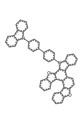 c1ccc2c(c1)oc1ccc3c(c12)c1c2ccccc2oc1c1c3c2ccccc2n1-c1ccc(-c2ccc(-n3c4ccccc4c4ccccc43)cc2)cc1